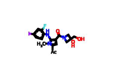 CC(=O)c1cc(C(=O)N2CC(O)(CO)C2)c(Nc2ccc(I)cc2F)n1C